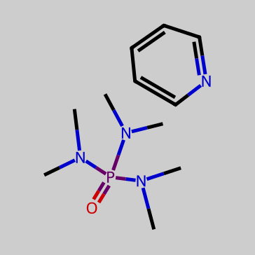 CN(C)P(=O)(N(C)C)N(C)C.c1ccncc1